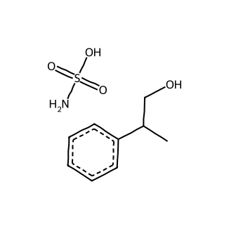 CC(CO)c1ccccc1.NS(=O)(=O)O